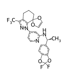 C[C@H](Nc1cc(-n2nc(C(F)(F)F)c3c2C2(CCC3)OC=CO2)ccn1)c1ccc2c(c1)OC(F)(F)O2